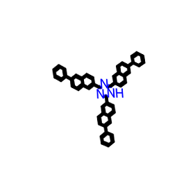 C1=CCC(c2ccc3cc(C4=NC(c5ccc6cc(-c7ccccc7)ccc6c5)=NC(c5ccc6cc(-c7ccccc7)ccc6c5)N4)ccc3c2)C=C1